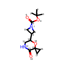 CC(C)(C)OC(=O)N1CC(C2CNC(=O)C3(CC3)O2)C1